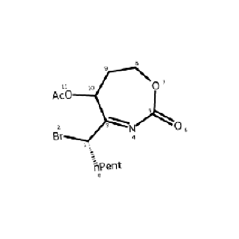 CCCCC[C@H](Br)C1=NC(=O)OCCC1OC(C)=O